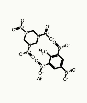 Cc1c([N+](=O)[O-])cc([N+](=O)[O-])cc1[N+](=O)[O-].O=[N+]([O-])N1CN([N+](=O)[O-])CN([N+](=O)[O-])C1.[Al]